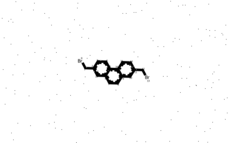 BrCc1ccc2c(ccc3cc(CBr)ccc32)c1